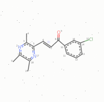 Cc1nc(C)c(/C=C/C(=O)c2cccc(Cl)c2)nc1C